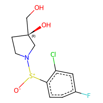 [O-][S+](c1ccc(F)cc1Cl)N1CC[C@](O)(CO)C1